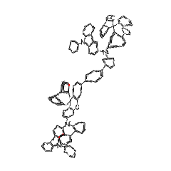 c1ccc(-c2ccccc2N(c2ccc3c(c2)Oc2cc(-c4ccc(-c5cccc(N(c6ccc7c(c6)C6(c8ccccc8O7)c7ccccc7-c7ccccc76)c6ccc7c(c6)c6ccccc6n7-c6ccccc6)c5)cc4)ccc2C32c3ccccc3-c3ccccc32)c2ccc3c4ccccc4n(-c4ccccc4)c3c2)cc1